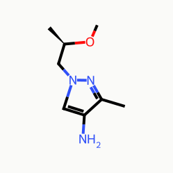 CO[C@H](C)Cn1cc(N)c(C)n1